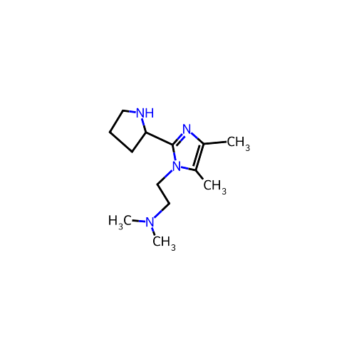 Cc1nc(C2CCCN2)n(CCN(C)C)c1C